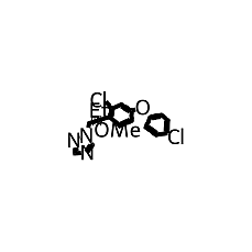 CC[C@@](Cn1cncn1)(OC)c1ccc(Oc2ccc(Cl)cc2)cc1Cl